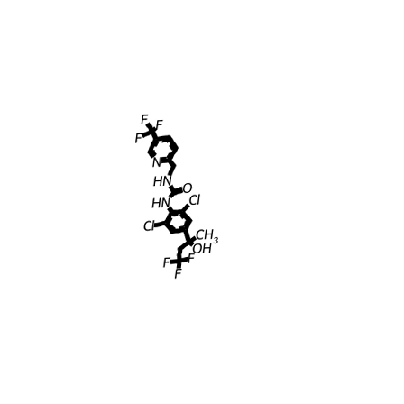 CC(O)(CC(F)(F)F)c1cc(Cl)c(NC(=O)NCc2ccc(C(F)(F)F)cn2)c(Cl)c1